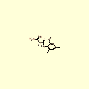 COc1cc(C)cc(C)c1NC(=S)NC(=N)N